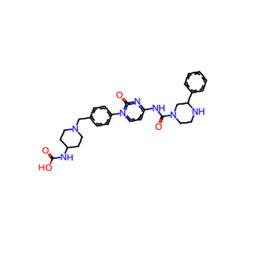 O=C(O)NC1CCN(Cc2ccc(-n3ccc(NC(=O)N4CCNC(c5ccccc5)C4)nc3=O)cc2)CC1